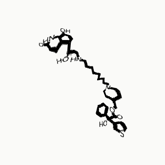 O=C(OCC1CCN(CCCCCCCCCNC[C@H](O)c2ccc(O)c3[nH]c(=O)ccc23)CC1)C(O)(c1ccccc1)c1ccsc1